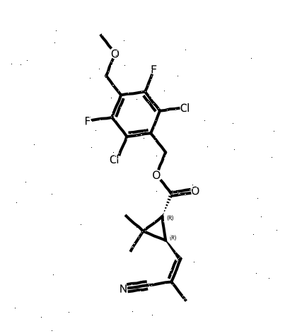 COCc1c(F)c(Cl)c(COC(=O)[C@@H]2[C@@H](C=C(C)C#N)C2(C)C)c(Cl)c1F